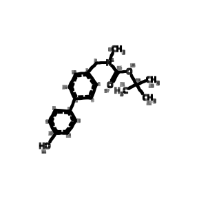 CN(Cc1ccc(-c2ccc(O)cc2)cc1)C(=O)OC(C)(C)C